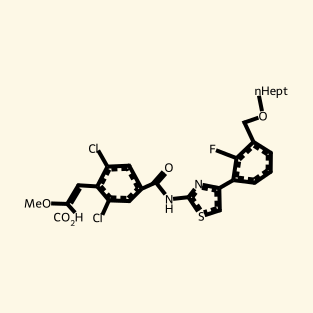 CCCCCCCOCc1cccc(-c2csc(NC(=O)c3cc(Cl)c(C=C(OC)C(=O)O)c(Cl)c3)n2)c1F